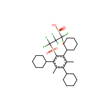 Cc1c(C2CCCCC2)c(C)c(C2CCCCC2)c(S(=O)(=O)C(F)(F)C(F)(F)C(F)(F)S(=O)(=O)O)c1C1CCCCC1